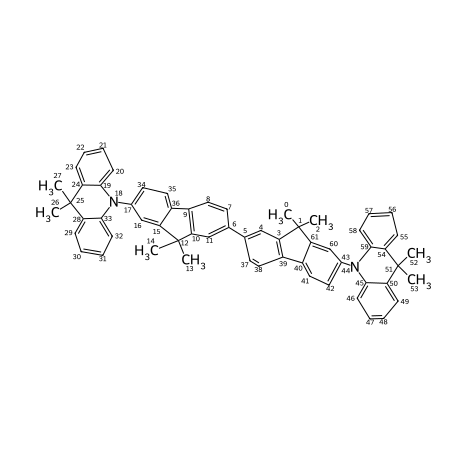 CC1(C)c2cc(-c3ccc4c(c3)C(C)(C)c3cc(N5c6ccccc6C(C)(C)c6ccccc65)ccc3-4)ccc2-c2ccc(N3c4ccccc4C(C)(C)c4ccccc43)cc21